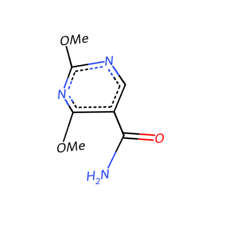 COc1ncc(C(N)=O)c(OC)n1